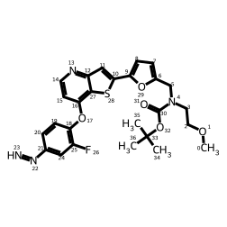 COCCN(Cc1ccc(-c2cc3nccc(Oc4ccc(N=N)cc4F)c3s2)o1)C(=O)OC(C)(C)C